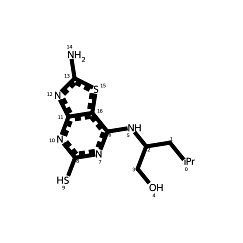 CC(C)CC(CO)Nc1nc(S)nc2nc(N)sc12